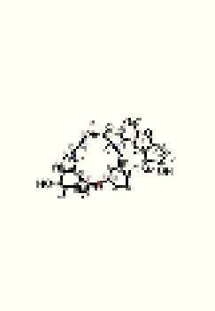 CO[C@H]1CC(O[C@H]2[C@H](C)O[C@@H](OC3/C(C)=C/C[C@@H]4C[C@@H](CCO4)OC(=O)[C@@H]4C=C(C)[C@@H](O)[C@H]5OC/C(=C\C=C\[C@@H]3C)C54O)C[C@@H]2OC)O[C@@H](C)[C@@H]1O